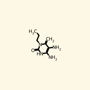 C=C1C(N)=C(N)NC(=O)N1CCC